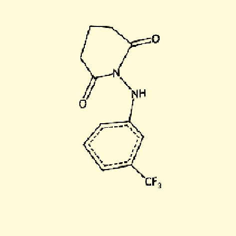 O=C1CCCC(=O)N1Nc1cccc(C(F)(F)F)c1